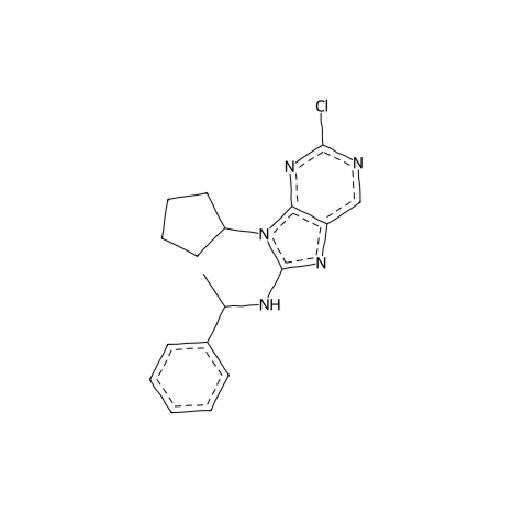 CC(Nc1nc2cnc(Cl)nc2n1C1CCCC1)c1ccccc1